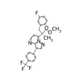 COC(=O)[C@](C)(Cc1cccc(F)c1)c1ccnc2c(-c3ccc(C(F)(F)F)cc3)cnn12